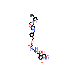 CC(C)c1ccnc(N2CCOC3(CCN(Cc4cccc(CCOCCC(=O)N(C)CCNC[C@H](O)c5ccc(O)c6[nH]c(=O)ccc56)c4)CC3)C2)c1